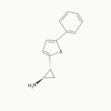 N[C@@H]1C[C@H]1c1ccc(-c2ccccc2)s1